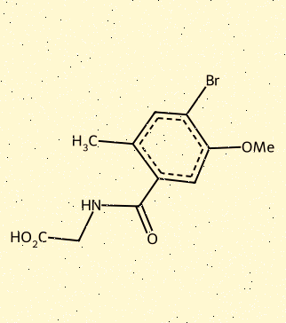 COc1cc(C(=O)NCC(=O)O)c(C)cc1Br